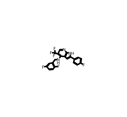 Fc1ccc(-c2cc3c(NCc4cc(F)ccc4F)c(C(F)(F)F)cnc3[nH]2)cc1